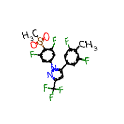 Cc1c(F)cc(-c2cc(C(F)(F)F)nn2-c2cc(F)c(S(C)(=O)=O)c(F)c2)cc1F